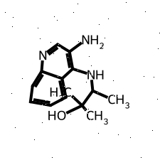 CC(Nc1c(N)cnc2ccccc12)C(C)(C)O